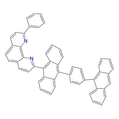 c1ccc(-c2ccc3ccc4ccc(-c5c6ccccc6c(-c6ccc(-c7c8ccccc8cc8ccccc78)cc6)c6ccccc56)nc4c3n2)cc1